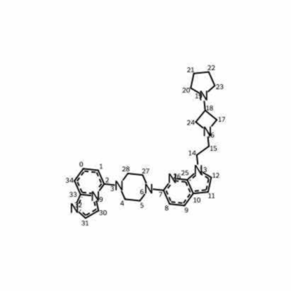 c1cc(N2CCN(c3ccc4ccn(CCN5CC(N6CCCC6)C5)c4n3)CC2)n2ccnc2c1